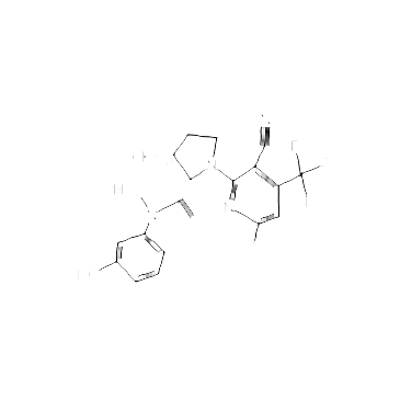 Cc1cccc(N(C)C(=O)[C@@H]2[C@H](Cl)CCN2c2nc(C)cc(C(F)(F)F)c2C#N)c1